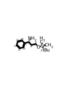 CC(C)(C)[Si](C)(C)OCC[C@@H](N)c1ccccc1